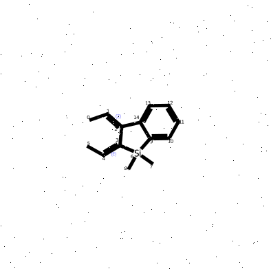 C/C=C1\C(=C/C)[Si](C)(C)c2ccccc21